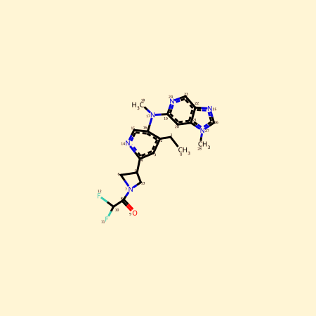 CCc1cc(C2CN(C(=O)C(F)F)C2)ncc1N(C)c1cc2c(cn1)ncn2C